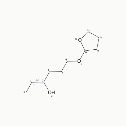 C/C=C(\O)CCCOC1CCCO1